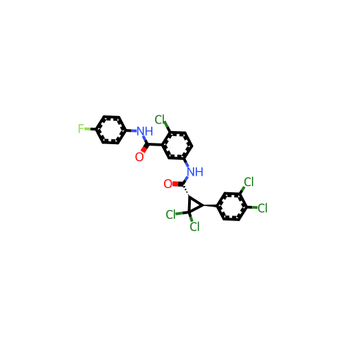 O=C(Nc1ccc(F)cc1)c1cc(NC(=O)[C@@H]2[C@@H](c3ccc(Cl)c(Cl)c3)C2(Cl)Cl)ccc1Cl